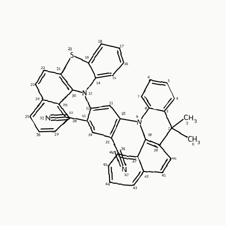 CC1(C)c2ccccc2N(c2cc(N3c4ccccc4Sc4ccc5ccccc5c43)c(C#N)cc2C#N)c2c1ccc1ccccc21